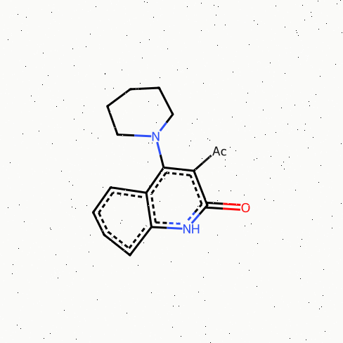 CC(=O)c1c(N2CCCCC2)c2ccccc2[nH]c1=O